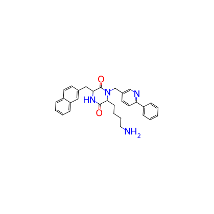 NCCCCC1C(=O)NC(Cc2ccc3ccccc3c2)C(=O)N1Cc1ccc(-c2ccccc2)nc1